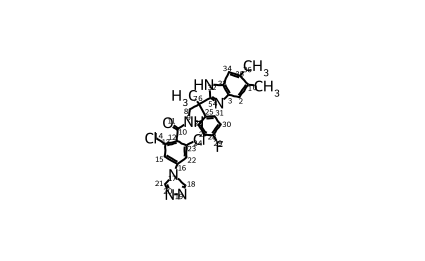 Cc1cc2nc(C(C)(CNC(=O)c3c(Cl)cc(-n4cnnc4)cc3Cl)c3ccc(F)cc3)[nH]c2cc1C